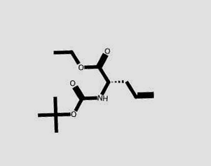 C=CC[C@H](NC(=O)OC(C)(C)C)C(=O)OCC